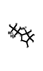 BC(C)(C1CC(C)C(C)(C)C1(C)CCC)C(C)(C)CC